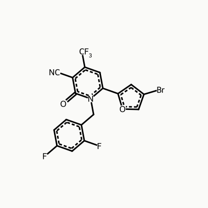 N#Cc1c(C(F)(F)F)cc(-c2cc(Br)co2)n(Cc2ccc(F)cc2F)c1=O